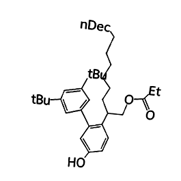 CCCCCCCCCCCCCCCCC(COC(=O)CC)c1ccc(O)cc1-c1cc(C(C)(C)C)cc(C(C)(C)C)c1